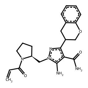 C=CC(=O)N1CCC[C@H]1Cn1nc(C2COc3ccccc3C2)c(C(N)=O)c1N